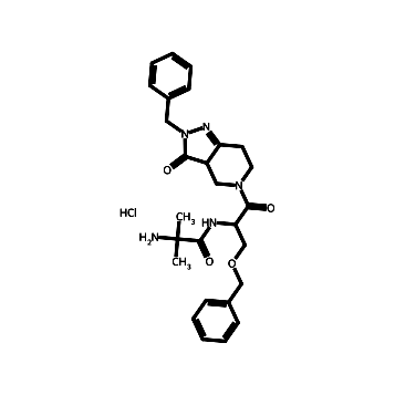 CC(C)(N)C(=O)NC(COCc1ccccc1)C(=O)N1CCC2=NN(Cc3ccccc3)C(=O)C2C1.Cl